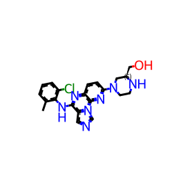 Cc1cccc(Cl)c1Nc1nc2ccc(N3CCN[C@H](CO)C3)nc2n2cncc12